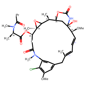 COc1cc2cc(c1Cl)N(C)C(=O)C[C@@H](OC(=O)[C@@H](C)N(C)C(=O)C(C)C)[C@@]1(C)OC1[C@@H](C)[C@H]1C[C@](O)(NC(=O)O1)[C@@H](OC)/C=C/C=C(\C)C2